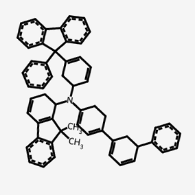 CC1(C)C2=C(C=CCC2N(C2=CC=C(C3=CC=CC(c4ccccc4)C3)CC2)C2C=CC=C(C3(c4ccccc4)c4ccccc4-c4ccccc43)C2)c2ccccc21